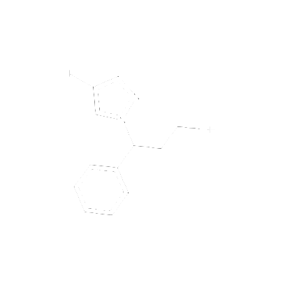 OCCC(c1ccccc1)n1cc(I)cn1